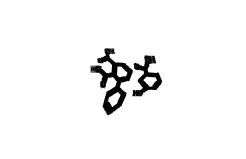 O=C(O)c1cccc(-c2ccccc2)c1C(=O)O.O=C(O)c1cccc(O)c1